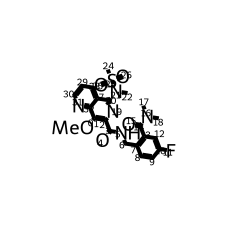 COc1c(C(=O)NCc2ccc(F)cc2C(=O)N(C)C)nc(N(C)S(C)(=O)=O)c2cccnc12